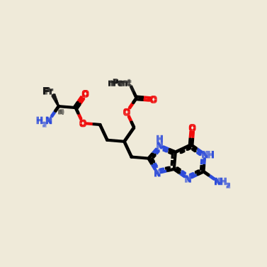 CCCCCC(=O)OCC(CCOC(=O)[C@@H](N)C(C)C)Cc1nc2nc(N)[nH]c(=O)c2[nH]1